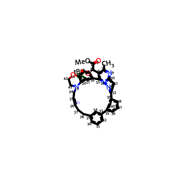 COC(=O)[C@@H](OC(C)(C)C)c1c(C)nc2cc3nn2c1-c1ccc2c(c1Cl)N(C/C=C\CCc1cccc(c1)-c1cccc-3c1)CCO2